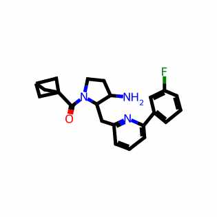 NC1CCN(C(=O)C23CC(C2)C3)C1Cc1cccc(-c2cccc(F)c2)n1